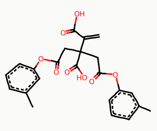 C=C(C(=O)O)C(CC(=O)Oc1cccc(C)c1)(CC(=O)Oc1cccc(C)c1)C(=O)O